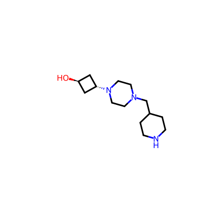 O[C@H]1C[C@H](N2CCN(CC3CCNCC3)CC2)C1